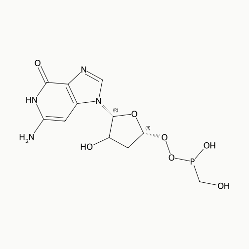 Nc1cc2c(ncn2[C@@H]2O[C@H](OOP(O)CO)CC2O)c(=O)[nH]1